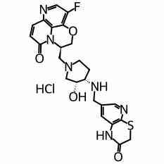 Cl.O=C1CSc2ncc(CN[C@H]3CCN(C[C@@H]4COc5c(F)cnc6ccc(=O)n4c56)C[C@H]3O)cc2N1